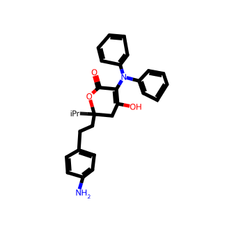 CC(C)C1(CCc2ccc(N)cc2)CC(O)=C(N(c2ccccc2)c2ccccc2)C(=O)O1